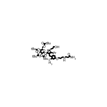 Cc1cc(OCCCNCCC(N)=O)ccc1Cc1c(O[C@@H]2O[C@H](COC(=O)C(C)(C)C)[C@@H](OC(=O)C(C)(C)C)[C@H](OC(=O)C(C)(C)C)[C@H]2OC(=O)C(C)(C)C)nn(CCCO)c1C(C)C